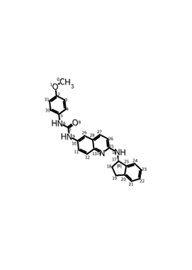 COc1ccc(NC(=O)Nc2ccc3nc(N[C@@H]4CCc5ccccc54)ccc3c2)cc1